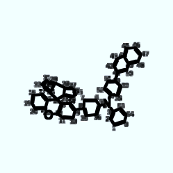 c1ccc(N(c2ccc(-c3ccc4c(c3)C3(c5ccccc5O4)c4ccccc4-c4ccccc43)cc2)c2ccc(-c3ccc4ccccc4c3)cc2)cc1